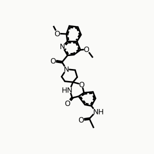 COc1cc(C(=O)N2CCC3(CC2)NC(=O)c2cc(NC(C)=O)ccc2O3)nc2c(OC)cccc12